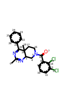 CC1=NC2CN(C(=O)c3cccc(Cl)c3Cl)CCC2(C)C(c2ccccc2)=N1